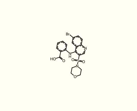 O=C(O)c1ccccc1Nc1c(S(=O)(=O)N2CCOCC2)cnc2ccc(Br)cc12